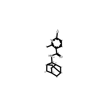 Cc1nc(Cl)ccc1C(=O)NC1C2CC3CC(C2)CC1C3